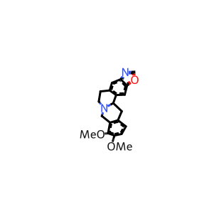 COc1ccc2c(c1OC)CN1CCc3cc4ncoc4cc3C1C2